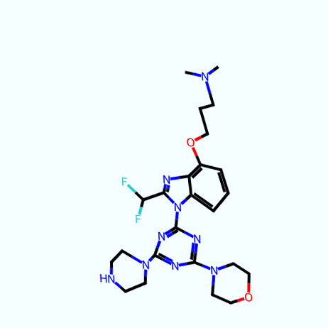 CN(C)CCCOc1cccc2c1nc(C(F)F)n2-c1nc(N2CCNCC2)nc(N2CCOCC2)n1